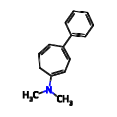 CN(C)C1=CC=C(c2ccccc2)C=CC1